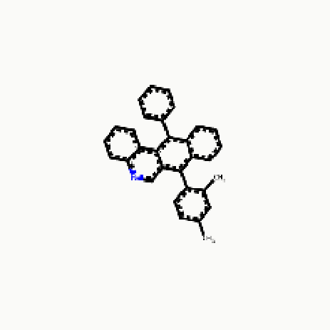 Cc1ccc(-c2c3ccccc3c(-c3ccccc3)c3c2cnc2ccccc23)c(C)c1